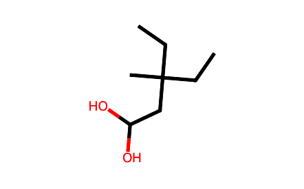 CCC(C)(CC)CC(O)O